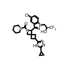 O=C(N1CCCCC1)N1CC2(CC(c3nnc(C4CC4)[nH]3)C2)C1c1nn(C[C@H](O)C(F)(F)F)c2ccc(Cl)cc12